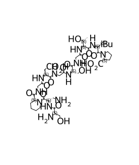 CC[C@H](C)[C@H](NC(=O)[C@@H](NC(=O)CNC(=O)[C@H](CO)NC(=O)CNC(=O)[C@H](CC(=O)O)NC(=O)CNC(=O)[C@@H]1CCCCN1C(=O)[C@H](CN)NC(=O)[C@@H](N)CO)[C@@H](C)O)C(=O)N1CCC[C@H]1C(=O)O